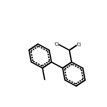 Cc1ccccc1-c1ccccc1C(Cl)Cl